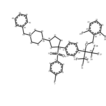 O=S(=O)(c1ccc(F)cc1)C1(c2ccc(C(OCc3c(F)cccc3F)(C(F)(F)F)C(F)(F)F)cc2)CCC(N2CCN(Cc3ccccc3)CC2)C1